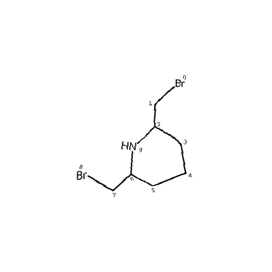 BrCC1CCCC(CBr)N1